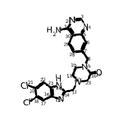 Nc1ncnc2cc(CN3CCN(Cc4nc5cc(Cl)c(Cl)cc5[nH]4)CC3=O)ccc12